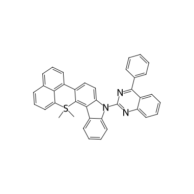 CS1(C)c2cccc3cccc(c23)-c2ccc3c(c21)c1ccccc1n3-c1nc(-c2ccccc2)c2ccccc2n1